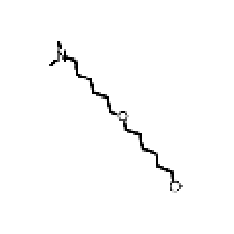 CN(C)CCCCCCOCCCCCC[O]